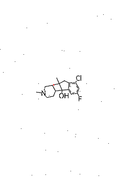 CN1CCC(C2(O)c3cc(F)cc(Cl)c3CC2(C)C)CC1